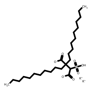 CCCCCCCCCCCC(CCCCCCCCCCC)(C(=O)[O-])C(C(=O)[O-])S(=O)(=O)O.[K+].[K+]